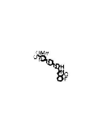 COC(=O)c1ccc(N2CCC(N3CCC(c4cc5cccc(F)c5c(=O)[nH]4)C3)CC2)cn1